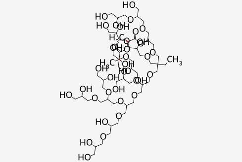 CCC(COCC(O)COCC(O)CO)(COCC(COCC(COCC(O)COCC(O)CO)OCC(COCC(O)CO)OCC(O)CO)OCC(CO)OCC(CO)OCC(O)CO)COCC(COCC(CO)OCC(O)CO)OC(=O)C(C)OC(=O)C(C)O